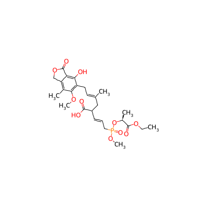 CCOC(=O)[C@H](C)OP(=O)(C/C=C/C(C/C(C)=C/Cc1c(O)c2c(c(C)c1OC)COC2=O)C(=O)O)OC